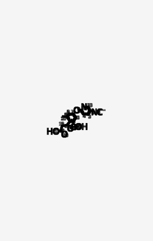 [C-]#[N+]c1ccc(Oc2cc(C)c3c(c2)B(O)OC3CC(=O)O)nc1